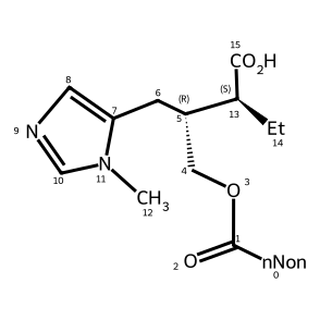 CCCCCCCCCC(=O)OC[C@H](Cc1cncn1C)[C@H](CC)C(=O)O